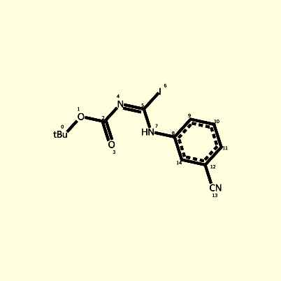 CC(C)(C)OC(=O)/N=C(/I)Nc1cccc(C#N)c1